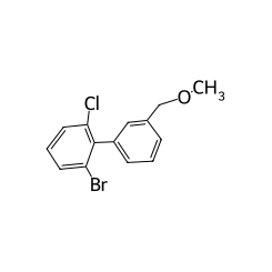 COCc1cccc(-c2c(Cl)cccc2Br)c1